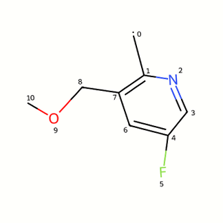 [CH2]c1ncc(F)cc1COC